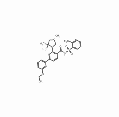 CCOc1cccc(-c2ccc(C(=O)NS(=O)(=O)c3cccnc3N)c(N3C[C@@H](C)CC3(C)C)n2)c1